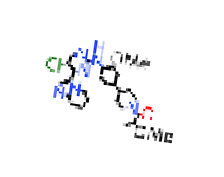 COc1cc(C2CCN(C(=O)[C@H](C)OC)CC2)ccc1Nc1ncc(Cl)c(-c2cnc3ccccn23)n1